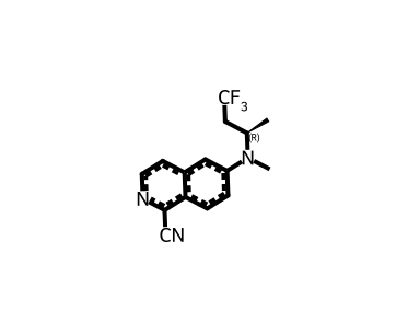 C[C@H](CC(F)(F)F)N(C)c1ccc2c(C#N)nccc2c1